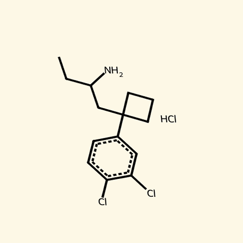 CCC(N)CC1(c2ccc(Cl)c(Cl)c2)CCC1.Cl